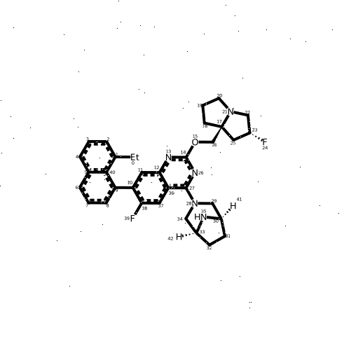 CCc1cccc2cccc(-c3cc4nc(OC[C@@]56CCCN5C[C@H](F)C6)nc(N5C[C@H]6CC[C@@H](C5)N6)c4cc3F)c12